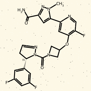 Cn1nc(C(N)=O)cc1-c1cc(OC2CN(C(=O)N3N=CC[C@H]3c3cc(F)cc(F)c3)C2)c(F)cn1